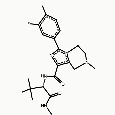 CNC(=O)[C@@H](NC(=O)c1nc(-c2ccc(C)c(F)c2)n2c1CN(C)CC2)C(C)(C)C